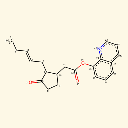 CCC=CCC1C(=O)CCC1CC(=O)Oc1cccc2cccnc12